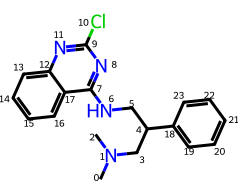 CN(C)CC(CNc1nc(Cl)nc2ccccc12)c1ccccc1